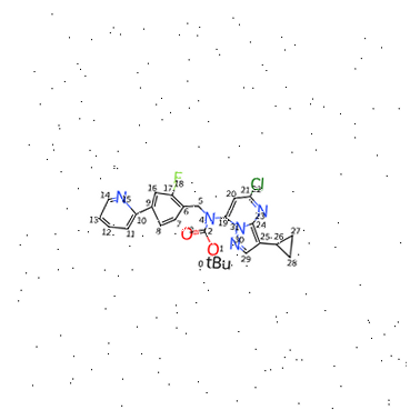 CC(C)(C)OC(=O)N(Cc1ccc(-c2ccccn2)cc1F)c1cc(Cl)nc2c(C3CC3)cnn12